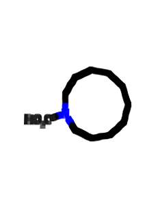 CCOC(=O)N1CCCCCCCCCC1